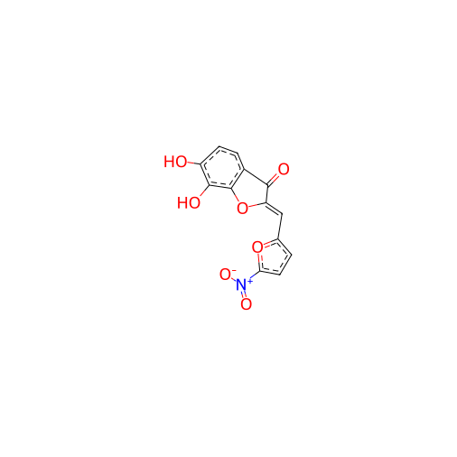 O=C1C(=Cc2ccc([N+](=O)[O-])o2)Oc2c1ccc(O)c2O